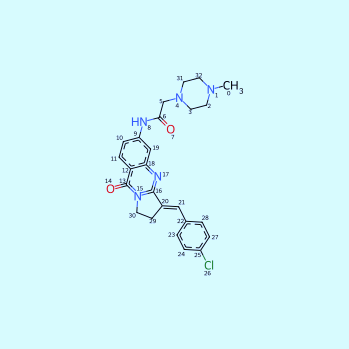 CN1CCN(CC(=O)Nc2ccc3c(=O)n4c(nc3c2)C(=Cc2ccc(Cl)cc2)CC4)CC1